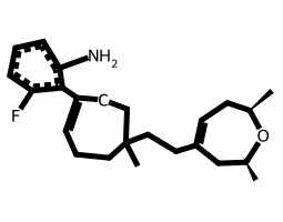 C[C@@H]1CC=C(CCC2(C)CCC=C(c3c(N)cccc3F)CC2)C[C@H](C)O1